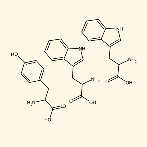 NC(Cc1c[nH]c2ccccc12)C(=O)O.NC(Cc1c[nH]c2ccccc12)C(=O)O.NC(Cc1ccc(O)cc1)C(=O)O